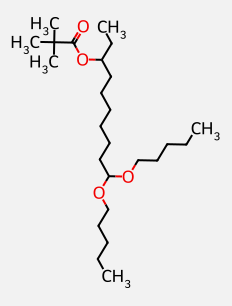 CCCCCOC(CCCCCCC(CC)OC(=O)C(C)(C)C)OCCCCC